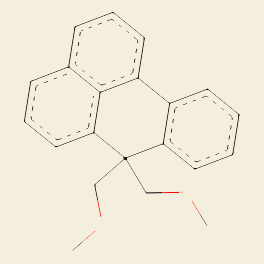 COCC1(COC)c2ccccc2-c2cccc3cccc1c23